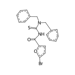 O=C(NC(=S)N(Cc1ccccc1)Cc1ccccc1)c1ccc(Br)o1